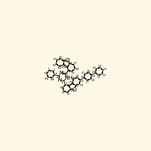 c1ccc(C2=NC(c3cccc4oc5cc(-c6ccc(-c7ccccc7)cc6)ccc5c34)NC(c3cccc4oc5ccccc5c34)=N2)cc1